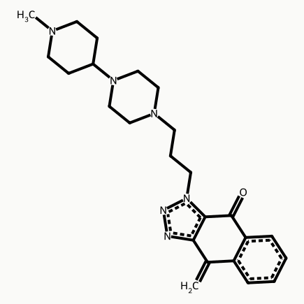 C=C1c2ccccc2C(=O)c2c1nnn2CCCN1CCN(C2CCN(C)CC2)CC1